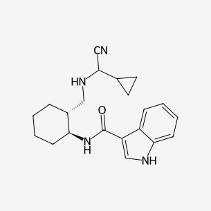 N#CC(NC[C@H]1CCCC[C@@H]1NC(=O)c1c[nH]c2ccccc12)C1CC1